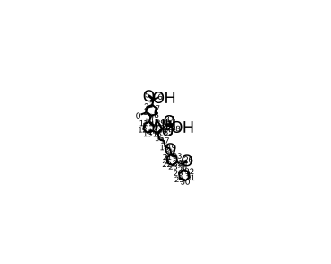 Cc1cc(C(=O)O)ccc1-c1cccc2c(CCCOc3cccc(C(=O)c4ccccc4)c3)c(OC(=O)O)[nH]c12